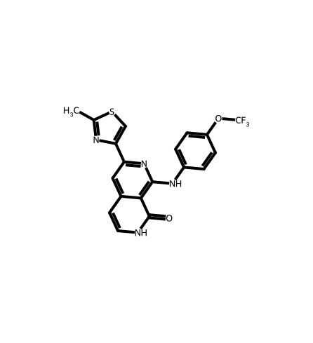 Cc1nc(-c2cc3cc[nH]c(=O)c3c(Nc3ccc(OC(F)(F)F)cc3)n2)cs1